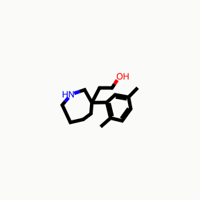 Cc1ccc(C)c(C2(CCO)CCCCNC2)c1